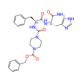 NC(=O)[C@H](Cc1c[nH]cn1)NC(=O)[C@H](Cc1ccccc1)NC(=O)N1CCN(C(=O)OCc2ccccc2)CC1